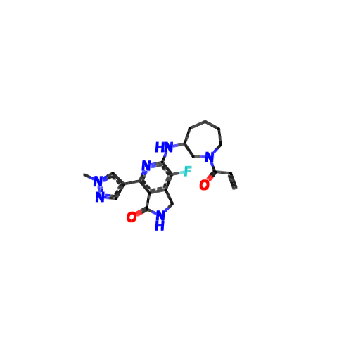 C=CC(=O)N1CCCCC(Nc2nc(-c3cnn(C)c3)c3c(c2F)CNC3=O)C1